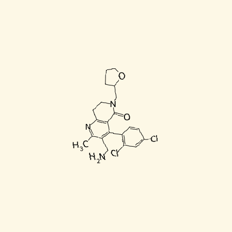 Cc1nc2c(c(-c3ccc(Cl)cc3Cl)c1CN)C(=O)N(CC1CCCO1)CC2